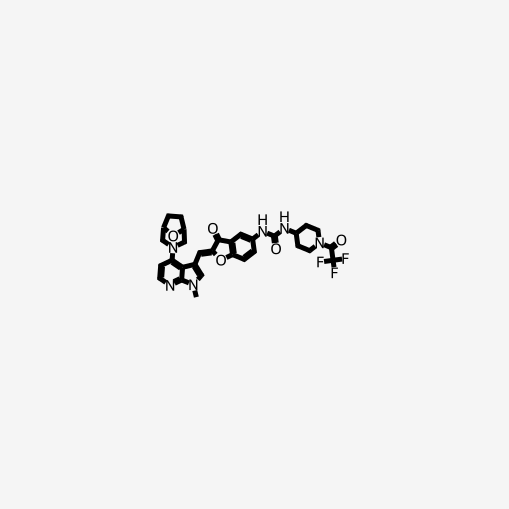 Cn1cc(C=C2Oc3ccc(NC(=O)NC4CCN(C(=O)C(F)(F)F)CC4)cc3C2=O)c2c(N3CC4CCC(C3)O4)ccnc21